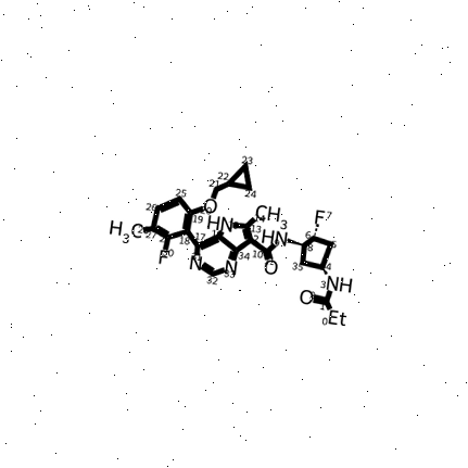 CCC(=O)N[C@H]1C[C@@H](F)[C@H](NC(=O)c2c(C)[nH]c3c(-c4c(OCC5CC5)ccc(C)c4F)ncnc23)C1